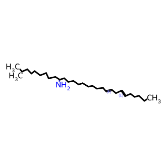 CCCCC/C=C/C/C=C/CCCCCCCCCC(N)CCCCCCCC(C)C